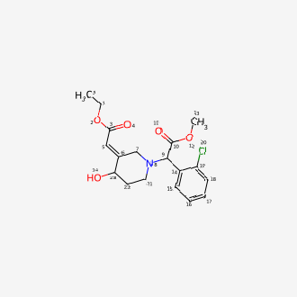 CCOC(=O)/C=C1\CN(C(C(=O)OC)c2ccccc2Cl)CCC1O